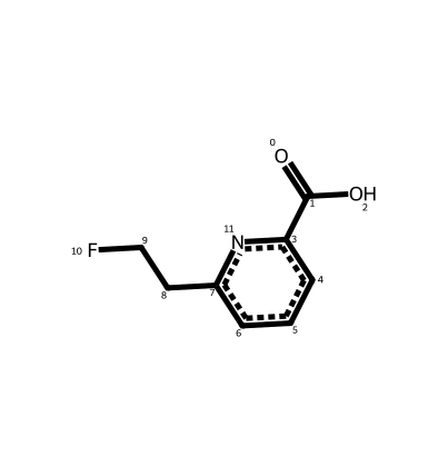 O=C(O)c1cccc(CCF)n1